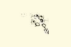 C=CC(=O)Nc1cc(-c2c(-c3ccc(N4CCN(C)CC4)cc3)[nH]c3ncc(C(=O)OCCOC)cc23)ccc1C